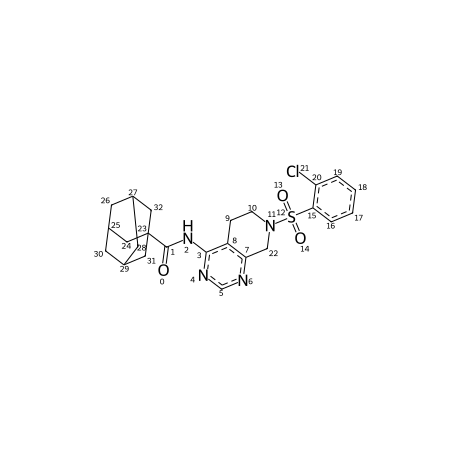 O=C(Nc1ncnc2c1CCN(S(=O)(=O)c1ccccc1Cl)C2)C12CC3CC(CC(C3)C1)C2